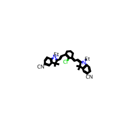 [C-]#[N+]c1ccc2c(c1)C(C)(C)C(/C=C/C1=C(Cl)C(=C/C=C3/N(CC)c4ccc(C#N)cc4C3(C)C)/CCC1)=[N+]2CC